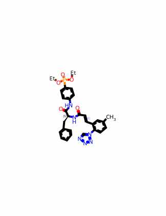 CCOP(=O)(OCC)c1ccc(NC(=O)[C@H](Cc2ccccc2)NC(=O)/C=C/c2cc(C)ccc2-n2cnnn2)cc1